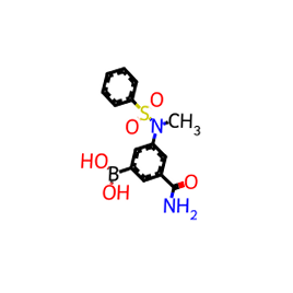 CN(c1cc(B(O)O)cc(C(N)=O)c1)S(=O)(=O)c1ccccc1